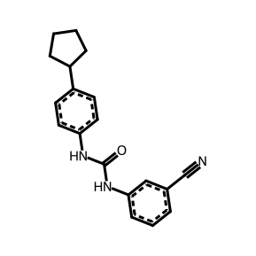 N#Cc1cccc(NC(=O)Nc2ccc(C3CCCC3)cc2)c1